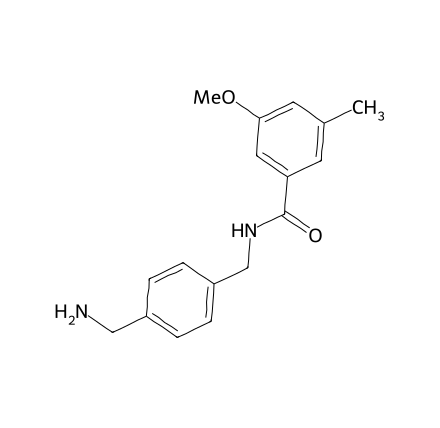 COc1cc(C)cc(C(=O)NCc2ccc(CN)cc2)c1